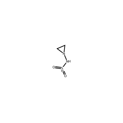 O=[SH](=O)NN1CC1